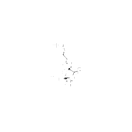 OCCCOC1(F)OC(C(F)(F)F)(C(F)(F)F)OC1F